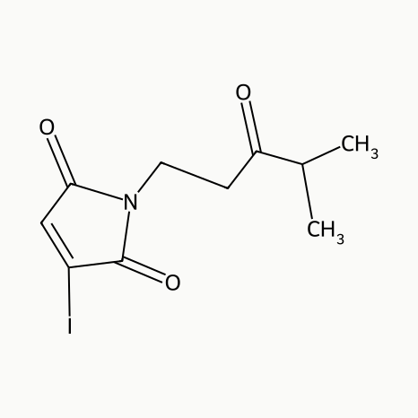 CC(C)C(=O)CCN1C(=O)C=C(I)C1=O